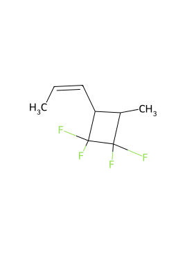 C/C=C\C1C(C)C(F)(F)C1(F)F